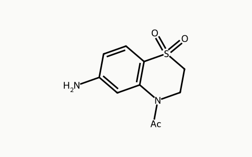 CC(=O)N1CCS(=O)(=O)c2ccc(N)cc21